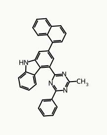 Cc1nc(-c2ccccc2)nc(-c2cc(-c3cccc4ccccc34)cc3[nH]c4ccccc4c23)n1